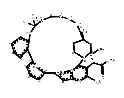 COC(=O)[C@@H](OC(C)(C)C)c1c(C)nc2cc3nn2c1N1CCC(C)(CC1)OCCCC[C@@H](C)Oc1ccccc1-c1cccc-3c1